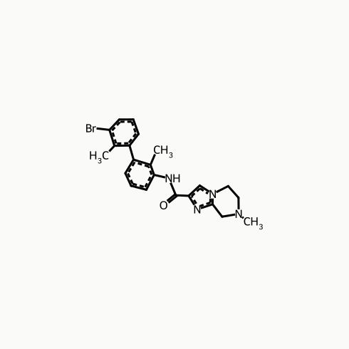 Cc1c(Br)cccc1-c1cccc(NC(=O)c2cn3c(n2)CN(C)CC3)c1C